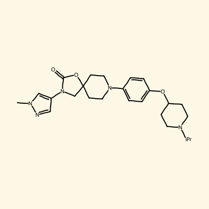 CC(C)N1CCC(Oc2ccc(N3CCC4(CC3)CN(c3cnn(C)c3)C(=O)O4)cc2)CC1